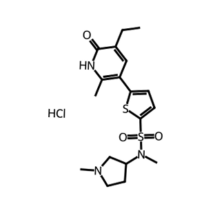 CCc1cc(-c2ccc(S(=O)(=O)N(C)C3CCN(C)C3)s2)c(C)[nH]c1=O.Cl